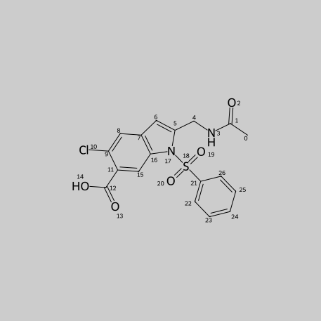 CC(=O)NCc1cc2cc(Cl)c(C(=O)O)cc2n1S(=O)(=O)c1ccccc1